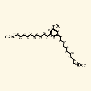 [CH2]CCCc1cc(CCCCCCCCCCCCCCCCCCCC)cc(CCCCCCCCCCCCCCCCCCCC)c1